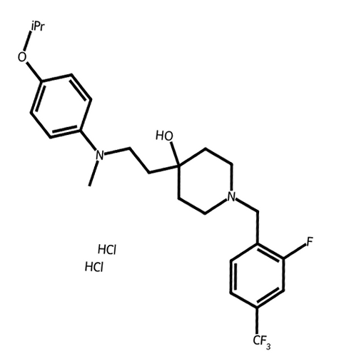 CC(C)Oc1ccc(N(C)CCC2(O)CCN(Cc3ccc(C(F)(F)F)cc3F)CC2)cc1.Cl.Cl